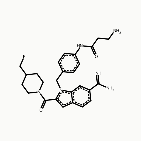 N=C(N)c1ccc2cc(C(=O)N3CCC(CF)CC3)n(Cc3ccc(NC(=O)CCN)cc3)c2c1